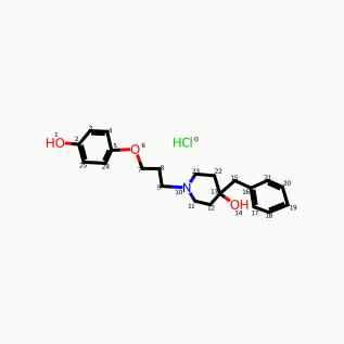 Cl.Oc1ccc(OCCCN2CCC(O)(Cc3ccccc3)CC2)cc1